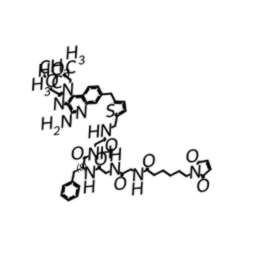 CCOCc1nc2c(N)nc3cc(Cc4ccc(CNC(=O)CNC(=O)[C@H](Cc5ccccc5)NC(=O)CNC(=O)CNC(=O)CCCCCN5C(=O)C=CC5=O)s4)ccc3c2n1CC(C)(C)O